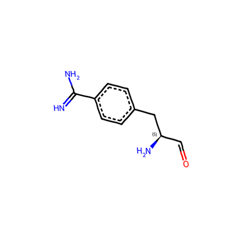 N=C(N)c1ccc(C[C@H](N)C=O)cc1